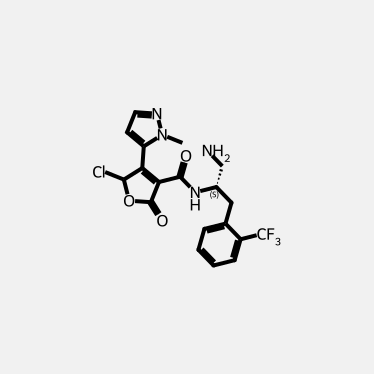 Cn1nccc1C1=C(C(=O)N[C@H](CN)Cc2ccccc2C(F)(F)F)C(=O)OC1Cl